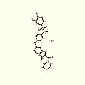 CN(c1ccc(Oc2ccc3c(c2)cc(C(=O)N2CCNCC2)n3C)nc1)S(=O)(=O)c1ccc(Cl)c(Cl)c1.Cl